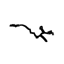 C=C(OCCCCCCCCCCCC)C(N)=O